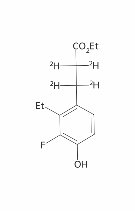 [2H]C([2H])(C(=O)OCC)C([2H])([2H])c1ccc(O)c(F)c1CC